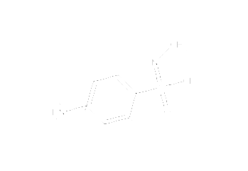 CN=S(C)(=O)c1ccc(N)cc1